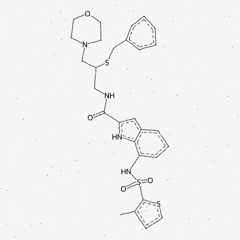 Cc1ccsc1S(=O)(=O)Nc1cccc2cc(C(=O)NCC(CN3CCOCC3)SCc3ccccc3)[nH]c12